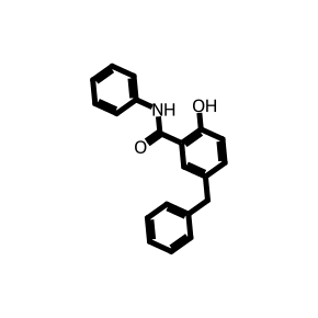 O=C(Nc1ccccc1)c1cc(Cc2ccccc2)ccc1O